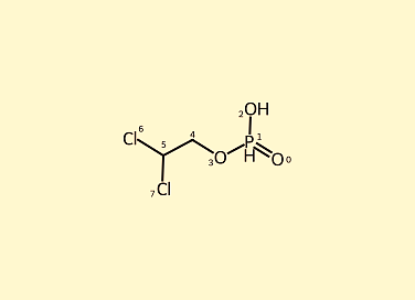 O=[PH](O)OCC(Cl)Cl